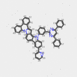 c1ccc(-c2cc(-c3ccccc3)nc(-c3cccc(-n4c5ccc(-c6ccccn6)cc5c5ccc6c(cc7c8ccccc8c8ccccc8n76)c54)c3)n2)cc1